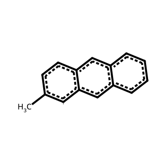 Cc1[c]c2cc3ccccc3cc2cc1